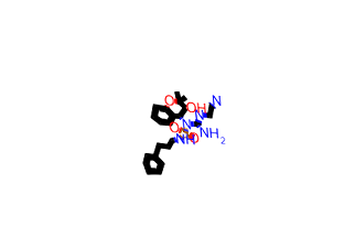 CC1(C)Oc2ccccc2C(N(C(N)=NCC#N)S(=O)(=O)NCCCc2ccccc2)C1O